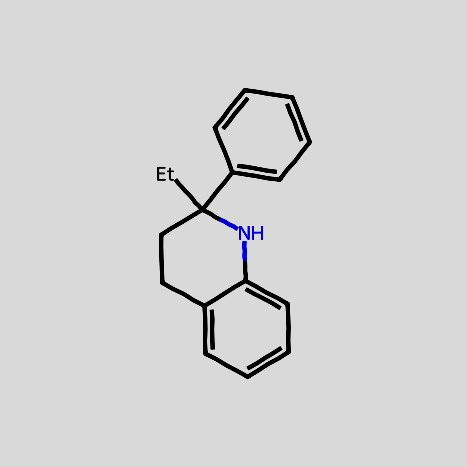 CCC1(c2ccccc2)CCc2ccccc2N1